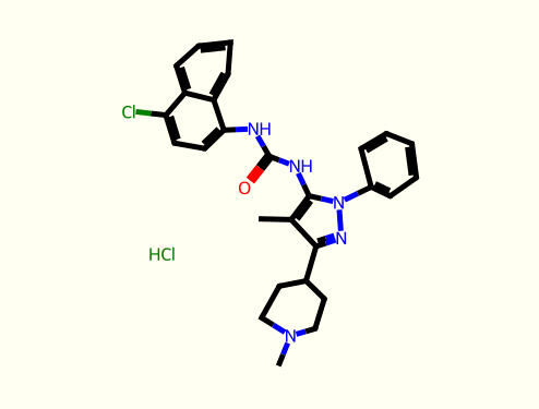 Cc1c(C2CCN(C)CC2)nn(-c2ccccc2)c1NC(=O)Nc1ccc(Cl)c2ccccc12.Cl